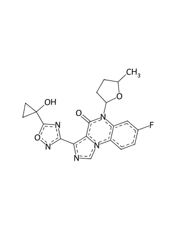 CC1CCC(n2c(=O)c3c(-c4noc(C5(O)CC5)n4)ncn3c3ccc(F)cc32)O1